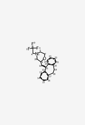 FC(F)(F)CN1CCOC(C=C2c3ccccc3CCc3ccccc32)C1